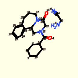 N#CCN.O=C(C1CCCCC1)N1CC(=O)N2CCCc3ccccc3C2C1